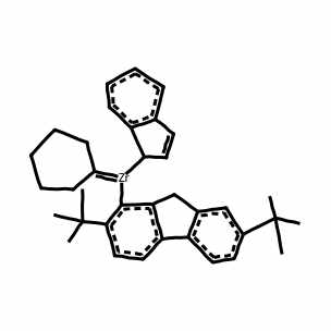 CC(C)(C)c1ccc2c(c1)Cc1c-2ccc(C(C)(C)C)[c]1[Zr](=[C]1CCCCC1)[CH]1C=Cc2ccccc21